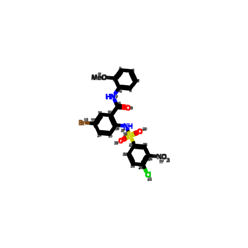 COc1ccccc1NC(=O)c1cc(Br)ccc1NS(=O)(=O)c1ccc(Cl)c([N+](=O)[O-])c1